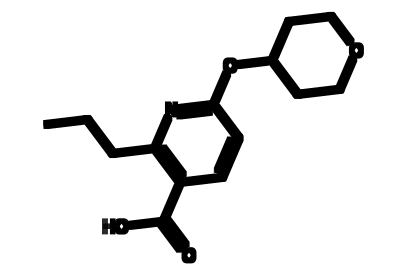 CCCc1nc(OC2CCOCC2)ccc1C(=O)O